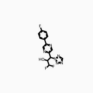 OC(C(F)F)C(c1cnc(-c2ccc(F)cc2)cn1)n1ncnn1